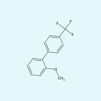 COc1ccccc1-c1ccc(C(F)(F)F)cc1